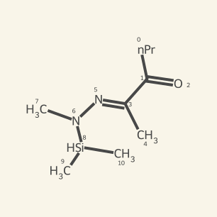 CCCC(=O)C(C)=NN(C)[SiH](C)C